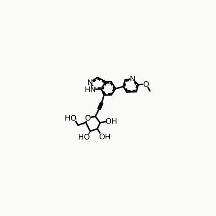 COc1ccc(-c2cc(C#CC3OC(CO)[C@@H](O)C(O)C3O)c3[nH]ncc3c2)cn1